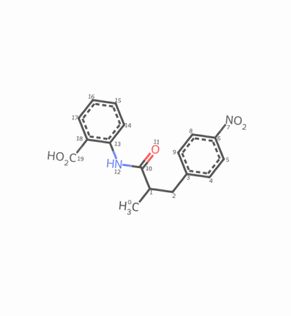 CC(Cc1ccc([N+](=O)[O-])cc1)C(=O)Nc1ccccc1C(=O)O